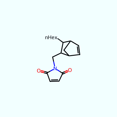 CCCCCCC1C2C=CC(C2)C1CN1C(=O)C=CC1=O